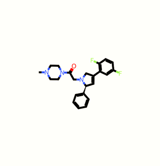 CN1CCN(C(=O)CN2CC(c3cc(F)ccc3F)=C[C@H]2c2ccccc2)CC1